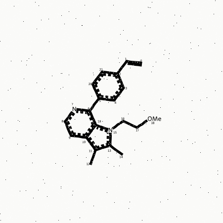 C=Cc1ccc(-c2nccc3c(C)c(C)n(CCOC)c23)cc1